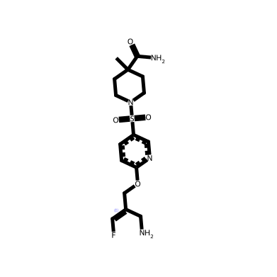 CC1(C(N)=O)CCN(S(=O)(=O)c2ccc(OC/C(=C/F)CN)nc2)CC1